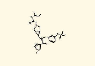 CCC(C)N(C)C(=O)CN1CC2C(C1)C2CN(Cc1cccc(OC(F)(F)F)c1)C(=O)c1cn(C)cn1